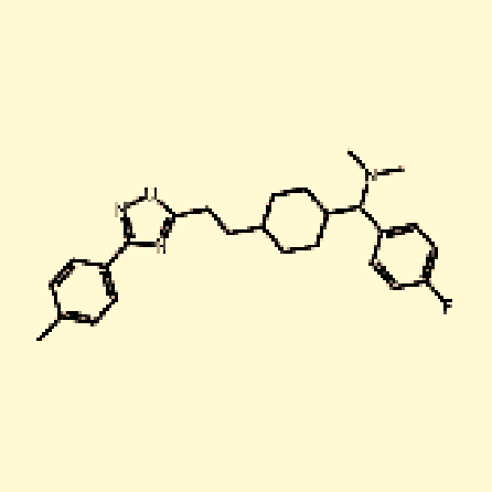 Cc1ccc(-c2noc(CCC3CCC(C(c4ccc(F)cc4)N(C)C)CC3)n2)cc1